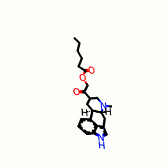 CCCCCC(=O)OCC(=O)C1C[C@@H]2c3cccc4[nH]cc(c34)C[C@H]2N(C)C1